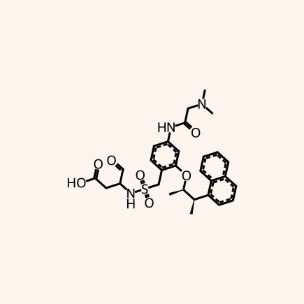 C[C@H](c1cccc2ccccc12)[C@@H](C)Oc1cc(NC(=O)CN(C)C)ccc1CS(=O)(=O)NC(C=O)CC(=O)O